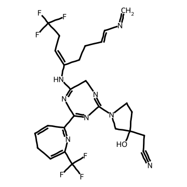 C=NC=CCC/C(=C\CC(F)(F)F)NC1=NC(C2=NC(C(F)(F)F)=CCC=C2)=NC(N2CCC(O)(CC#N)C2)=NC1